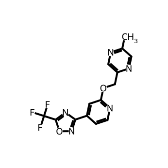 Cc1cnc(COc2cc(-c3noc(C(F)(F)F)n3)ccn2)cn1